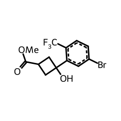 COC(=O)C1CC(O)(c2cc(Br)ccc2C(F)(F)F)C1